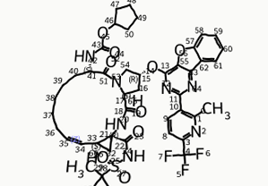 Cc1nc(C(F)(F)F)ccc1-c1nc(O[C@@H]2C[C@H]3C(=O)N[C@]4(C(=O)NS(=O)(=O)C5(C)CC5)C[C@H]4/C=C\CCCCC[C@H](NC(=O)OC4CCCC4)C(=O)N3C2)c2oc3ccccc3c2n1